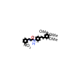 COc1cc(C=Cc2ccc(NC(=O)/C=C/c3cccc([N+](=O)[O-])c3)cc2)cc(OC)c1OC